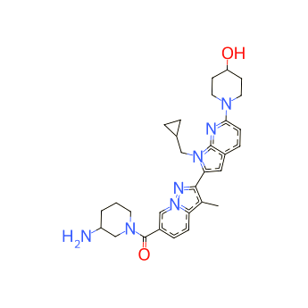 Cc1c(-c2cc3ccc(N4CCC(O)CC4)nc3n2CC2CC2)nn2cc(C(=O)N3CCCC(N)C3)ccc12